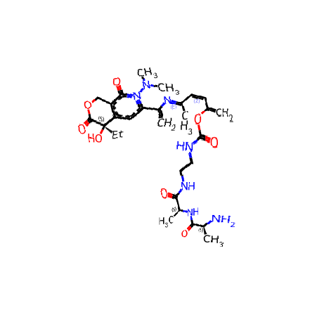 C=C(/C=C\C(C)=N\C(=C)c1cc2c(c(=O)n1N(C)C)COC(=O)[C@]2(O)CC)OC(=O)NCCNC(=O)[C@H](C)NC(=O)[C@H](C)N